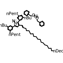 CCCCCCCCCCCCCCCCCCCCCCCCCCC=CC1=C(c2cc(CCCC)cc(CCCCC)c2)[N+](=[N-])C(c2cc(CCCC)cc(CCCCC)c2)=C1.c1ccc(C[O][Ni][O]Cc2ccccc2)cc1